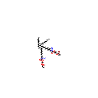 C=CC(=O)OCCOC(=O)NCCCCCCCCC1CCC(CCCCCC)C(CCCCCCCC)C1CCCCCCCCNC(=O)OCCOC(=O)C=C